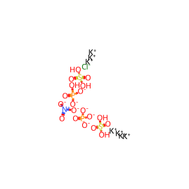 O=P([O-])([O-])O.O=P([O-])([O-])[O-].O=S(=O)(O)O.O=S(=O)(O)O.O=[N+]([O-])[O-].[Cl-].[K+].[K+].[K+].[K+].[K+].[K+].[K+]